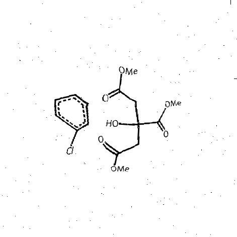 COC(=O)CC(O)(CC(=O)OC)C(=O)OC.Clc1ccccc1